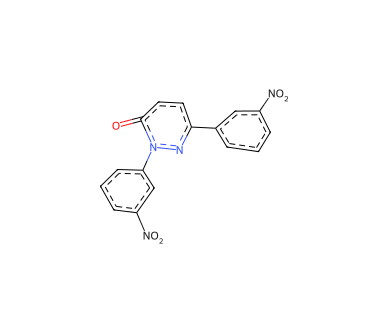 O=c1ccc(-c2cccc([N+](=O)[O-])c2)nn1-c1cccc([N+](=O)[O-])c1